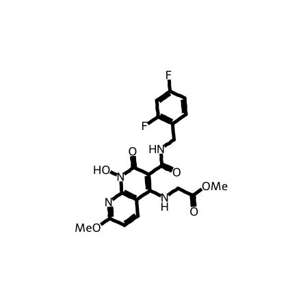 COC(=O)CNc1c(C(=O)NCc2ccc(F)cc2F)c(=O)n(O)c2nc(OC)ccc12